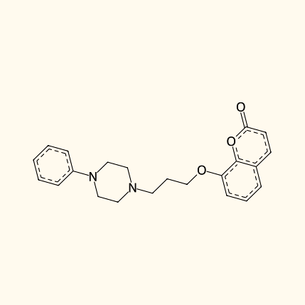 O=c1ccc2cccc(OCCCN3CCN(c4ccccc4)CC3)c2o1